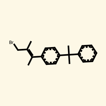 C/C(CBr)=C(/C)c1ccc(C(C)(C)c2ccccc2)cc1